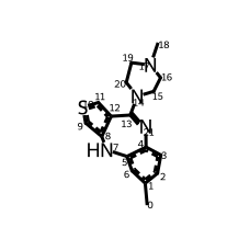 Cc1ccc2c(c1)Nc1cscc1C(N1CCN(C)CC1)=N2